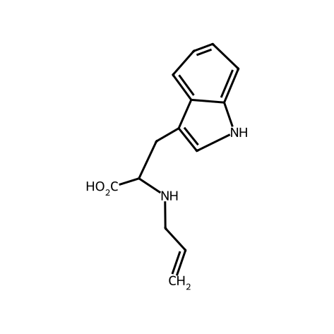 C=CCNC(Cc1c[nH]c2ccccc12)C(=O)O